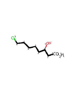 O=C(O)C[C@H](O)CCCCCCl